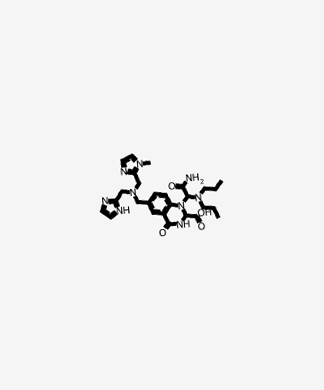 CCCN(CCC)C(C(N)=O)N1c2ccc(CN(Cc3ncc[nH]3)Cc3nccn3C)cc2C(=O)NC1C(=O)O